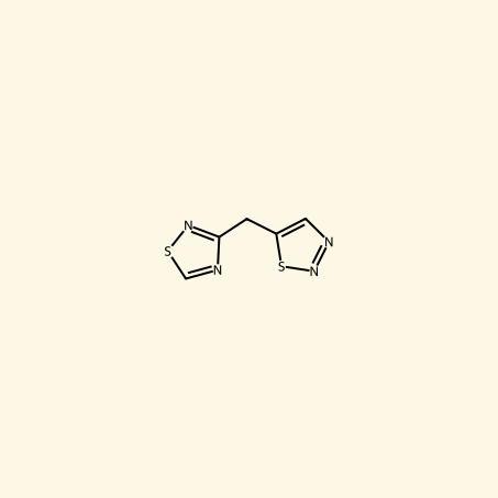 c1nc(Cc2cnns2)ns1